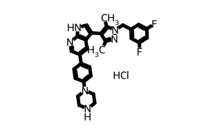 Cc1nn(Cc2cc(F)cc(F)c2)c(C)c1-c1c[nH]c2ncc(-c3ccc(N4CCNCC4)cc3)cc12.Cl